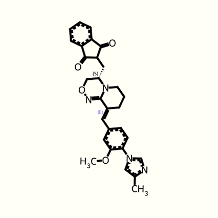 COc1cc(/C=C2\CCCN3C2=NOC[C@@H]3CC2C(=O)c3ccccc3C2=O)ccc1-n1cnc(C)c1